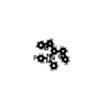 Fc1ccc(-c2nc(-c3ccccc3)nc(-c3cc(-c4cccc5c4oc4ccccc45)cc(-c4cccc5c4oc4ccccc45)c3)n2)cc1